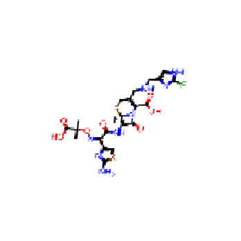 CC(C)(O/N=C(\C(=O)NC1C(=O)N2C(C(=O)O)=C(CNCc3c[nH]c(F)n3)CS[C@H]12)c1csc(N)n1)C(=O)O